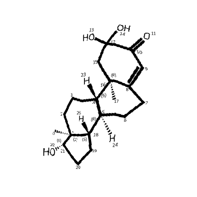 C[C@]12CC[C@H]3[C@@H](CCC4=CC(=O)C(O)(O)C[C@@]43C)[C@@H]1CC[C@@H]2O